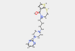 O=C1c2ccsc2SCCN1CCCCN1CCN(c2ncccn2)CC1